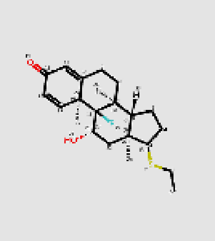 CCS[C@@H]1CC[C@H]2[C@@H]3CCC4=CC(=O)C=C[C@]4(C)C3(F)[C@@H](O)C[C@]12C